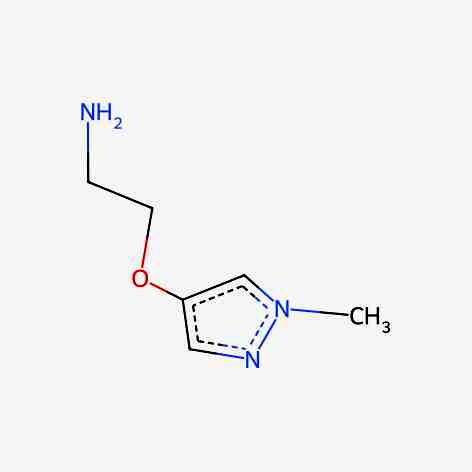 Cn1cc(OCCN)cn1